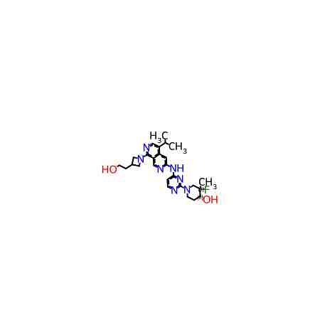 CC(C)c1cnc(N2CC(CCO)C2)c2cnc(Nc3ccnc(N4CC[C@@H](O)[C@@](C)(F)C4)n3)cc12